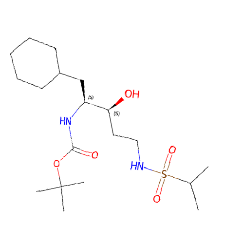 CC(C)S(=O)(=O)NCC[C@H](O)[C@H](CC1CCCCC1)NC(=O)OC(C)(C)C